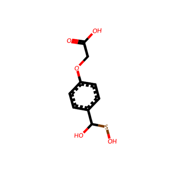 O=C(O)COc1ccc(C(O)SO)cc1